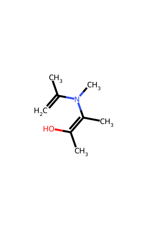 C=C(C)N(C)/C(C)=C(/C)O